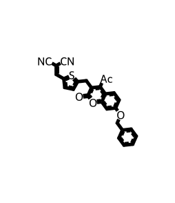 CC(=O)c1c(Cc2ccc(C=C(C#N)C#N)s2)c(=O)oc2cc(OCc3ccccc3)ccc12